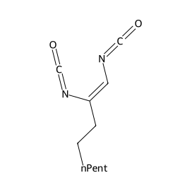 CCCCCCCC(=CN=C=O)N=C=O